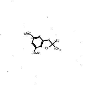 CCC(C)(C)Cc1cc(OC)cc(OC)c1